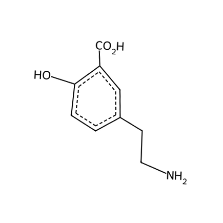 NCCc1ccc(O)c(C(=O)O)c1